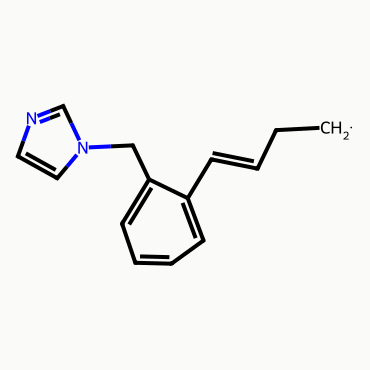 [CH2]CC=Cc1ccccc1Cn1ccnc1